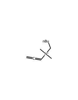 C=C=C[N+](C)(C)CCCCC